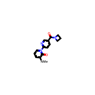 CNc1cccn(-c2ccc(C(=O)N3CCC3)cn2)c1=O